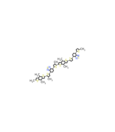 Cc1ccc(-c2ccc(-c3ccc(-c4cc5c(C)c6sc(-c7sc(-c8ccc(-c9cc(C)c(-c%10cc%11c(C)c%12sc(C)cc%12c(C)c%11s%10)s9)c9nsnc89)cc7C)cc6c(C)c5s4)s3)c3nsnc23)s1